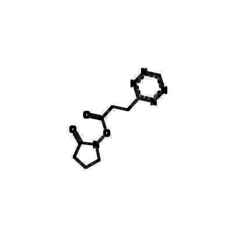 O=C(CCc1nncnn1)ON1CCCC1=O